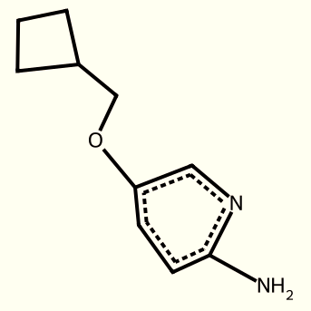 Nc1ccc(OCC2CCC2)cn1